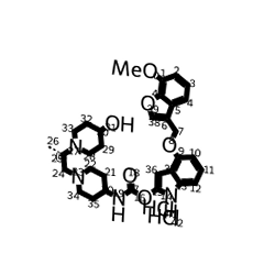 COc1cccc2c(COc3cccc4[nH]c(OC(=O)NC5CCN(C[C@H](C)N6CCC(O)CC6)CC5)cc34)coc12.Cl.Cl